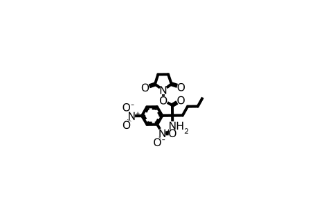 CCCCC(N)(C(=O)ON1C(=O)CCC1=O)c1ccc([N+](=O)[O-])cc1[N+](=O)[O-]